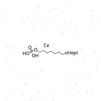 CCCCCCCCCCCCCCOP(=O)(O)O.[Ce]